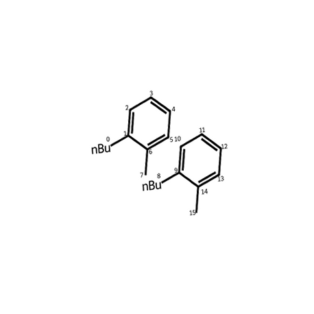 CCCCc1ccccc1C.CCCCc1ccccc1C